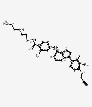 C#CCOc1ccc(-c2cnc3c(Nc4ccc(C(=O)NCCCNCCO)c(CC)c4)nccn23)c(C)c1F